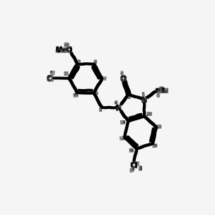 CCCCn1c(=O)n(Cc2ccc(OC)c(Cl)c2)c2cc(C(F)(F)F)ccc21